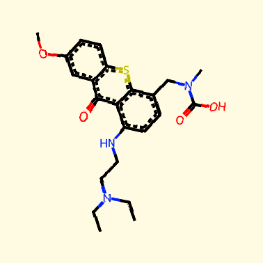 CCN(CC)CCNc1ccc(CN(C)C(=O)O)c2sc3ccc(OC)cc3c(=O)c12